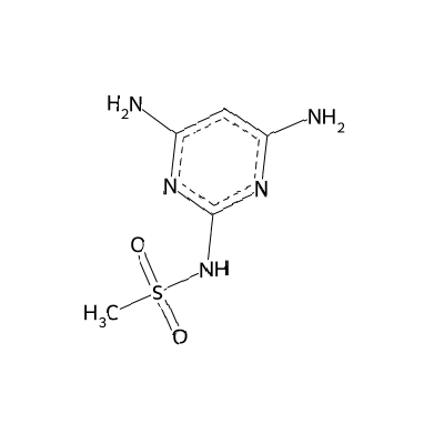 CS(=O)(=O)Nc1nc(N)cc(N)n1